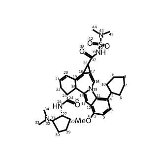 COc1ccc(C2CCCCC2)c2c1cc1n2C=C2C(=C3C=CC[C@@H](C(=O)N[C@@H]4CCCC4N(C)C)C31)C2C(=O)NS(=O)(=O)N(C)C